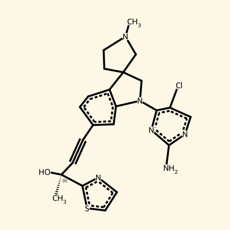 CN1CCC2(C1)CN(c1nc(N)ncc1Cl)c1cc(C#C[C@](C)(O)c3nccs3)ccc12